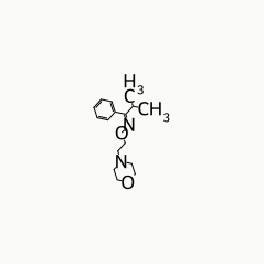 CC(C)/C(=N/OCCN1CCOCC1)c1ccccc1